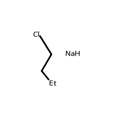 [CH2]CCCCl.[NaH]